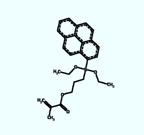 C=C(C)C(=O)OCCC[Si](OCC)(OCC)c1ccc2ccc3cccc4ccc1c2c34